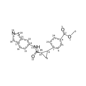 COC(=O)c1ccc(C2C[C@H]2C(=O)Nc2ccc3cnsc3c2)cc1